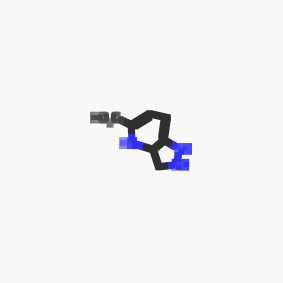 O=C(O)C1=CC=C2NNCC2N1